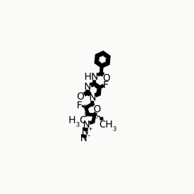 CC[C@@]1(CN=[N+]=[N-])OC(n2cc(F)c(NC(=O)c3ccccc3)nc2=O)[C@H](F)[C@@H]1C